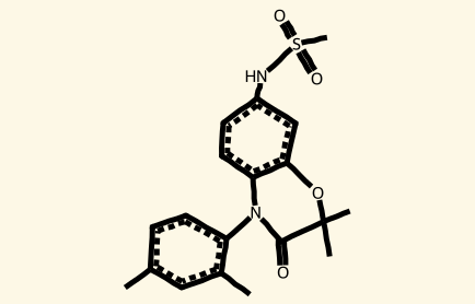 Cc1ccc(N2C(=O)C(C)(C)Oc3cc(NS(C)(=O)=O)ccc32)c(C)c1